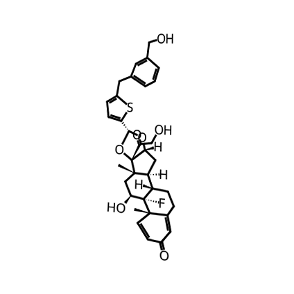 C[C@]12C=CC(=O)C=C1CC[C@H]1[C@@H]3C[C@H]4O[C@@H](c5ccc(Cc6cccc(CO)c6)s5)O[C@@]4(C(=O)CO)[C@@]3(C)C[C@H](O)[C@@]12F